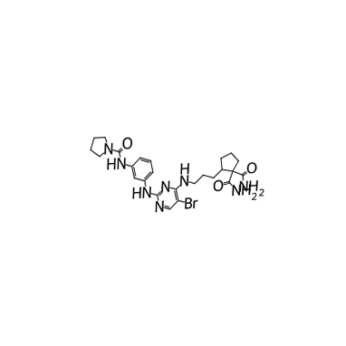 NC(=O)C1(C(N)=O)CCCC1CCCNc1nc(Nc2cccc(NC(=O)N3CCCC3)c2)ncc1Br